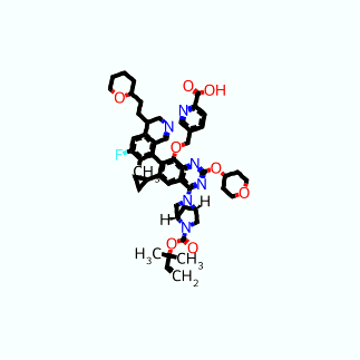 C=CC(C)(C)OC(=O)N1C[C@@H]2C[C@H]1CN2c1nc(OC2CCOCC2)nc2c(OCc3ccc(C(=O)O)nc3)c(-c3c(C)c(F)cc4c3C=NCC4CCC3CCCCO3)c(C3CC3)cc12